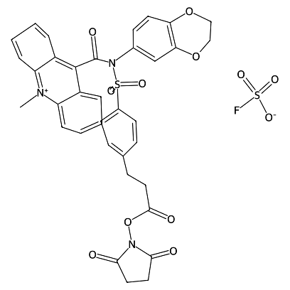 C[n+]1c2ccccc2c(C(=O)N(c2ccc3c(c2)OCCO3)S(=O)(=O)c2ccc(CCC(=O)ON3C(=O)CCC3=O)cc2)c2ccccc21.O=S(=O)([O-])F